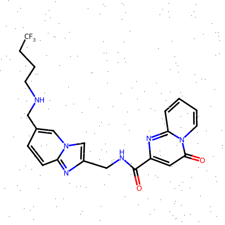 O=C(NCc1cn2cc(CNCCCC(F)(F)F)ccc2n1)c1cc(=O)n2ccccc2n1